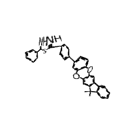 CC1(C)c2ccccc2-c2cc3c(cc21)Oc1cc(-c2ccc(C(=N)SC(=N)c4ccccc4)cc2)ccc1O3